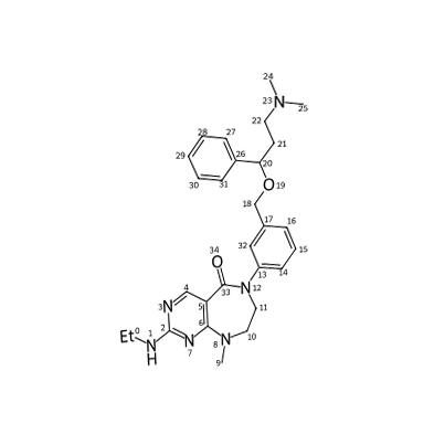 CCNc1ncc2c(n1)N(C)CCN(c1cccc(COC(CCN(C)C)c3ccccc3)c1)C2=O